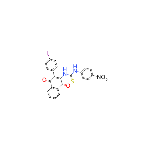 O=C1C(NC(=S)Nc2ccc([N+](=O)[O-])cc2)=C(c2ccc(I)cc2)C(=O)c2ccccc21